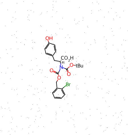 CC(C)(C)OC(=O)N(C(=O)OCc1ccccc1Br)[C@H](Cc1ccc(O)cc1)C(=O)O